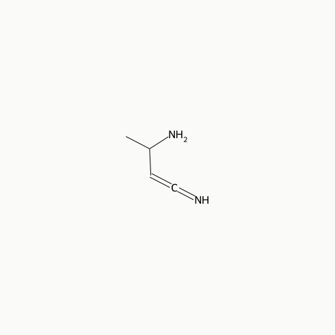 CC(N)C=C=N